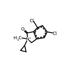 C[N+]1(C2CC2)Cc2cc(Cl)cc(Cl)c2C1=O